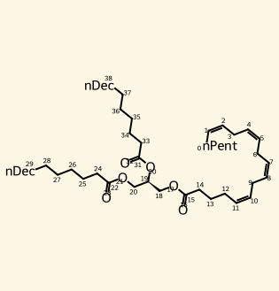 CCCCC/C=C\C/C=C\C/C=C\C/C=C\CCCC(=O)OC[C@@H](COC(=O)CCCCCCCCCCCCCCC)OC(=O)CCCCCCCCCCCCCCC